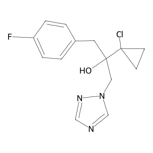 OC(Cc1ccc(F)cc1)(Cn1cncn1)C1(Cl)CC1